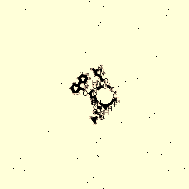 Cc1cc(C(=O)N[C@H]2CCCCCC(F)(F)C[C@@H]3C[C@@]3(C(=O)NS(=O)(=O)C3CC3)NC(=O)[C@@H]3C[C@@H](Oc4nc5ccccc5c5ccccc45)CN3C2=O)nn1C